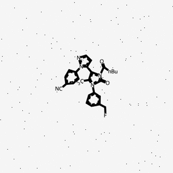 CCCCC(=O)n1c(-c2ccnn2-c2ccc(C#N)cc2)c(C)n(-c2cccc(CF)c2)c1=O